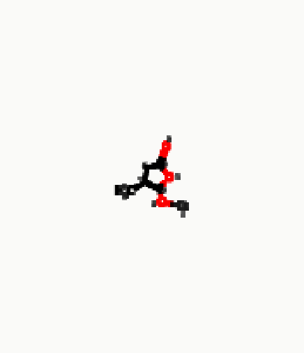 CCO[C@@H]1OC(=O)C[C@@H]1C